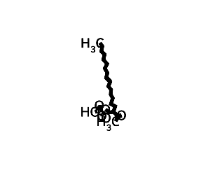 CCCCCCCCC=CCCCCCCC(C(C)=O)C(=O)OS(=O)(=O)O